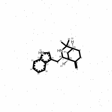 C=C1CC[C@H]2C[C@@H]1[C@@H](Cc1c[nH]c3ccccc13)NC2(C)C